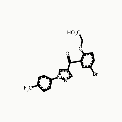 O=C(O)COc1ccc(Br)cc1C(=O)c1cnn(-c2ccc(C(F)(F)F)cc2)c1